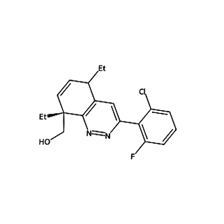 CCC1C=C[C@@](CC)(CO)c2nnc(-c3c(F)cccc3Cl)cc21